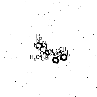 CC(=O)O[C@H]1[C@@H](Br)[C@@H](CO[Si](c2ccccc2)(c2ccccc2)C(C)(C)C)O[C@H]1n1cnc2c(N)ncnc21